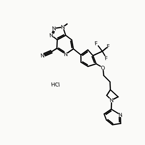 Cl.Cn1nnc2c(C#N)nc(-c3ccc(OCCC4CN(c5ccccn5)C4)c(C(F)(F)F)c3)cc21